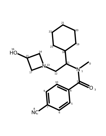 CN(C(=O)c1ccc(C#N)cc1)C(CN1CC(O)C1)C1CCCCC1